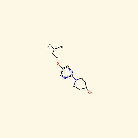 CC(C)CCOc1cnc(N2CCC(O)CC2)nc1